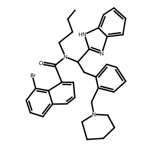 CCCCN(C(=O)c1cccc2cccc(Br)c12)C(Cc1ccccc1CN1CCCCC1)c1nc2ccccc2[nH]1